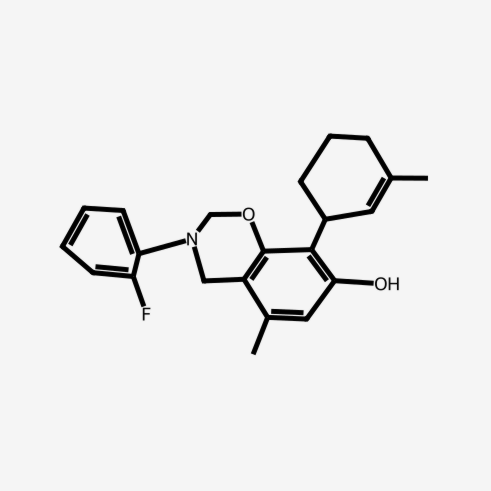 CC1=CC(c2c(O)cc(C)c3c2OCN(c2ccccc2F)C3)CCC1